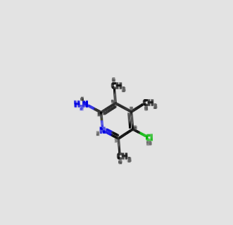 Cc1nc(N)c(C)c(C)c1Cl